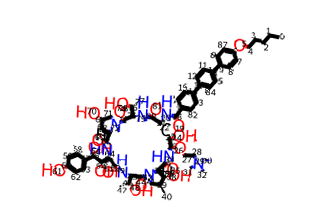 CCCCCOc1ccc(-c2ccc(-c3ccc(C(=O)N[C@H]4C[C@@H](O)[C@@H](OCC[N+](C)(C)C)NC(=O)[C@@H]5[C@@H](O)[C@@H](C)CN5C(=O)[C@H]([C@@H](C)O)NC(=O)[C@H]([C@H](O)[C@H](O)c5ccc(O)cc5)NC(=O)[C@@H]5C[C@@H](O)CN5C(=O)[C@H]([C@@H](C)O)NC4=O)cc3)cc2)cc1